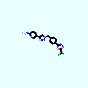 Nc1ccc(-c2cn(Cc3ccc(-c4nnc(C(F)F)o4)cc3)nn2)cn1